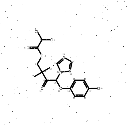 CC(C)(COC(=O)C(Cl)Cl)C(=O)C(Oc1ccc(Cl)cc1)n1cncn1